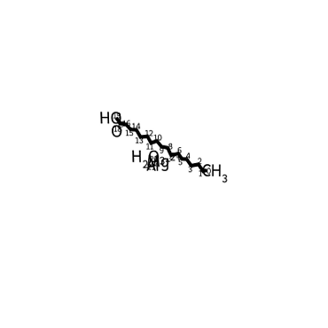 CCCCCCCCCCCCCCCCCC(=O)O.O.[Al+3].[Mg+2]